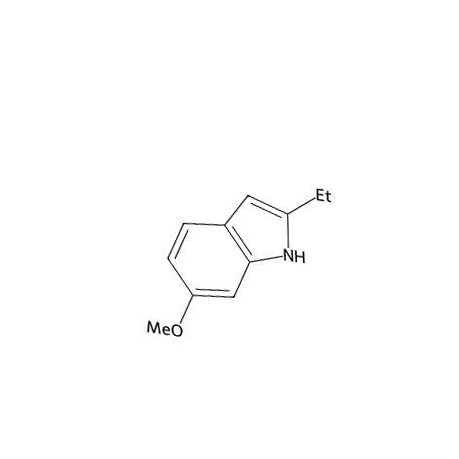 CCc1cc2ccc(OC)cc2[nH]1